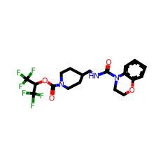 O=C(OC(C(F)(F)F)C(F)(F)F)N1CCC(CNC(=O)N2CCOc3ccccc32)CC1